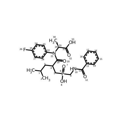 CC(C)CC(CP(=O)(O)CNC(=O)c1ccccc1)C(=O)N(c1ccc(F)cc1)[C@@H](C)C(=O)O